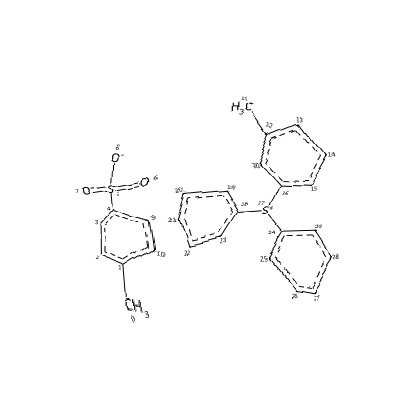 Cc1ccc(S(=O)(=O)[O-])cc1.Cc1cccc([S+](c2ccccc2)c2ccccc2)c1